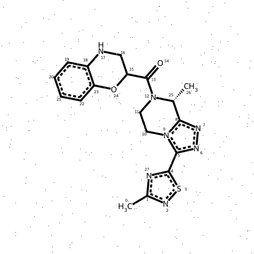 Cc1nsc(-c2nnc3n2CCN(C(=O)C2CNc4ccccc4O2)[C@@H]3C)n1